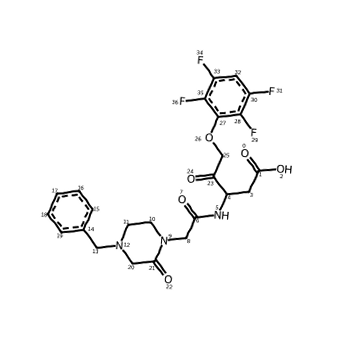 O=C(O)CC(NC(=O)CN1CCN(Cc2ccccc2)CC1=O)C(=O)COc1c(F)c(F)cc(F)c1F